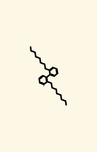 CCCCCCCCc1[c]cccc1-c1ccccc1CCCCCCCC